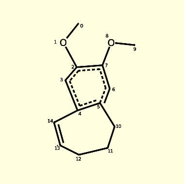 COc1cc2c(cc1OC)CCC[C]=C2